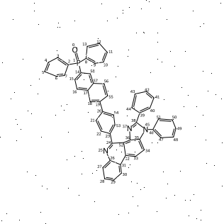 O=P(c1ccccc1)(c1ccccc1)c1ccc2cc(-c3ccc(-c4nc5ccccc5c5ccc6c(nc(-c7ccccc7)n6-c6ccccc6)c45)cc3)ccc2c1